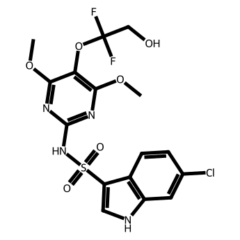 COc1nc(NS(=O)(=O)c2c[nH]c3cc(Cl)ccc23)nc(OC)c1OC(F)(F)CO